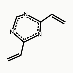 C=Cc1ncnc(C=C)n1